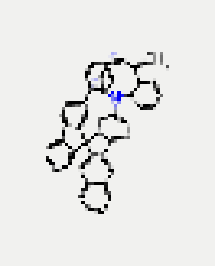 C=C1/C=C\C=C/N(c2ccc3c(c2)C2(c4ccccc4-c4ccc(-c5ccccc5)cc42)c2cc4ccccc4cc2-3)C2C=CC=CC12